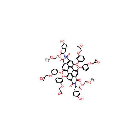 CCOCCOC(=O)C(Cc1ccc(O)cc1)N1C(=O)c2cc(Oc3cccc(OCC4CO4)c3)c3c4c(Oc5cccc(OCC6CO6)c5)cc5c6c(cc(Oc7cccc(OCC8CO8)c7)c(c7c(Oc8cccc(OCC9CO9)c8)cc(c2c37)C1=O)c64)C(=O)N(C(Cc1ccc(O)cc1)C(=O)OCCOCC)C5=O